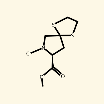 COC(=O)[C@@H]1CC2(CN1Cl)SCCS2